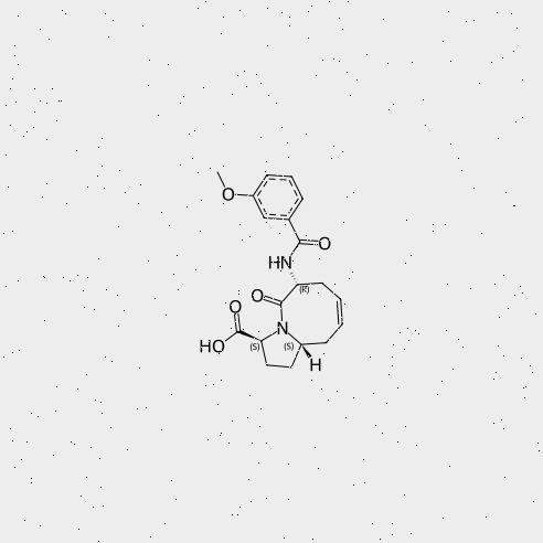 COc1cccc(C(=O)N[C@@H]2CC=CC[C@@H]3CC[C@@H](C(=O)O)N3C2=O)c1